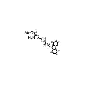 COC(=O)[C@@H](N)CCCCNC(=O)OCC1c2ccccc2-c2ccccc21